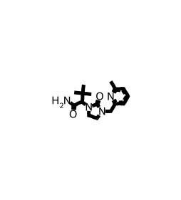 Cc1cccc(CN2CCN(C(C(N)=O)C(C)(C)C)C2=O)n1